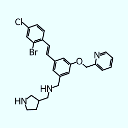 Clc1ccc(/C=C/c2cc(CNCC3CCNC3)cc(OCc3ccccn3)c2)c(Br)c1